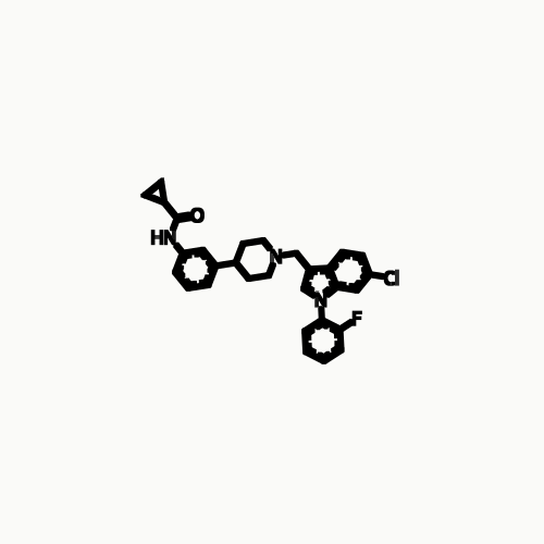 O=C(Nc1cccc(C2CCN(Cc3cn(-c4ccccc4F)c4cc(Cl)ccc34)CC2)c1)C1CC1